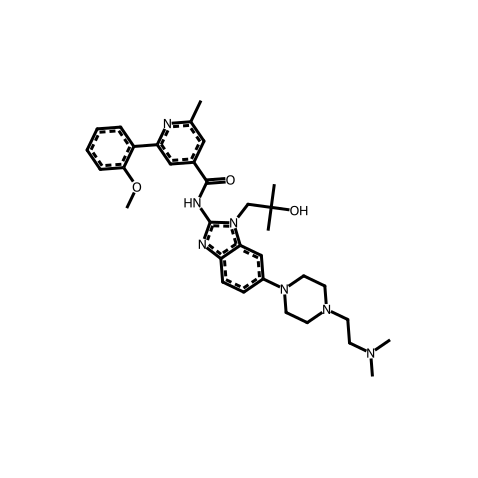 COc1ccccc1-c1cc(C(=O)Nc2nc3ccc(N4CCN(CCN(C)C)CC4)cc3n2CC(C)(C)O)cc(C)n1